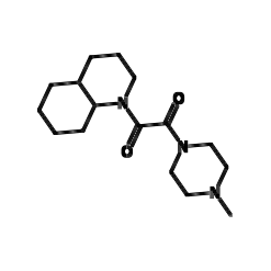 CN1CCN(C(=O)C(=O)N2CCCC3CCCCC32)CC1